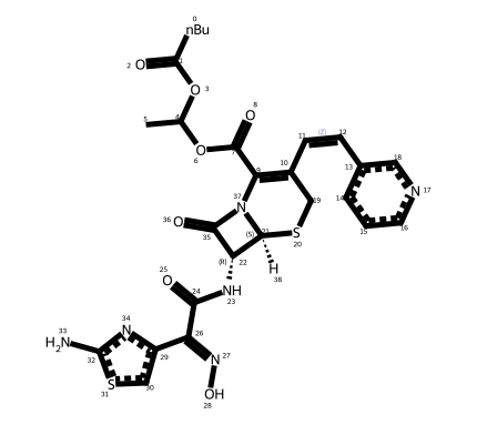 CCCCC(=O)OC(C)OC(=O)C1=C(/C=C\c2cccnc2)CS[C@H]2[C@H](NC(=O)C(=NO)c3csc(N)n3)C(=O)N12